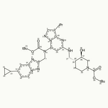 CC(C)c1cnn2c(N(Cc3nc4cc(C5CC5)ccn4n3)C(=O)OC(C)(C)C)cc(NC[C@H]3CCN(C(=O)OC(C)(C)C)C[C@@H]3O)nc12